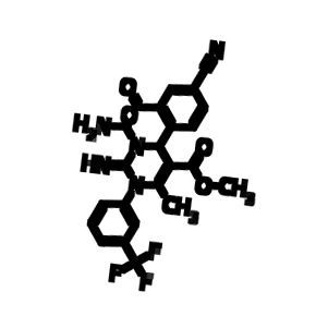 COC(=O)C1=C(C)N(c2cccc(C(F)(F)F)c2)C(=N)N(C(N)=O)C1c1ccc(C#N)cc1C=O